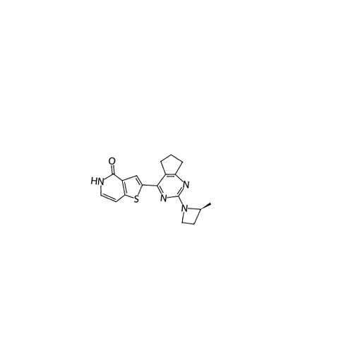 C[C@H]1CCN1c1nc2c(c(-c3cc4c(=O)[nH]ccc4s3)n1)CCC2